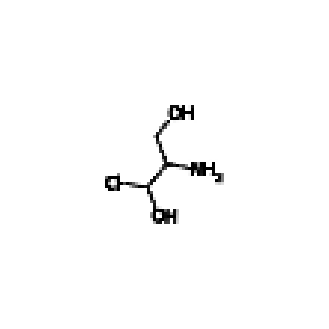 NC(CO)C(O)Cl